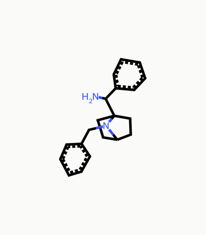 NC(c1ccccc1)C12CCC(CC1)N2Cc1ccccc1